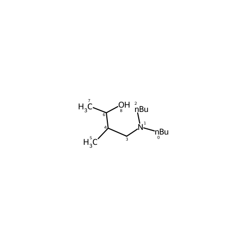 CCCCN(CCCC)CC(C)C(C)O